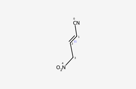 N#C/C=C/C[N+](=O)[O-]